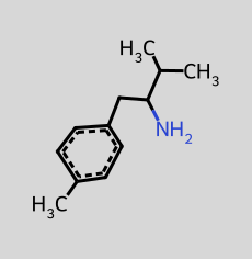 Cc1ccc(CC(N)C(C)C)cc1